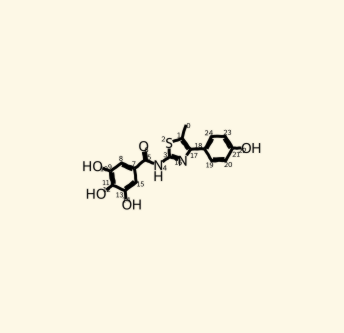 Cc1sc(NC(=O)c2cc(O)c(O)c(O)c2)nc1-c1ccc(O)cc1